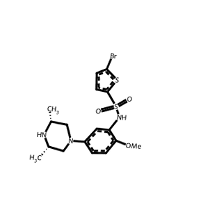 COc1ccc(N2C[C@@H](C)N[C@@H](C)C2)cc1NS(=O)(=O)c1ccc(Br)s1